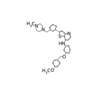 COc1ccc(COc2cccc(Nc3ccnc4cc(-c5cccc(CN6CCN(C)CC6)c5)sc34)c2)cc1